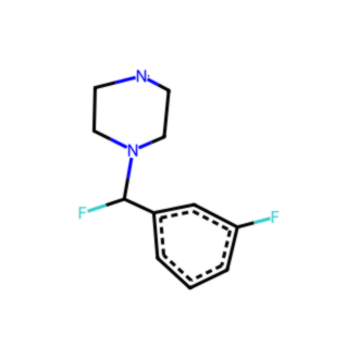 Fc1cccc(C(F)N2CC[N]CC2)c1